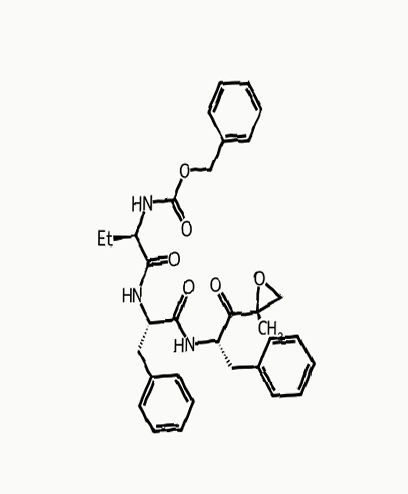 CC[C@@H](NC(=O)OCc1ccccc1)C(=O)N[C@@H](Cc1ccccc1)C(=O)N[C@@H](Cc1ccccc1)C(=O)[C@@]1(C)CO1